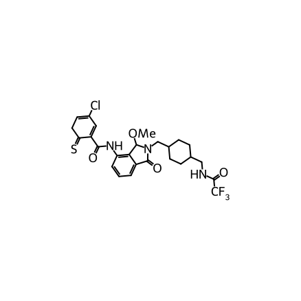 COC1c2c(NC(=O)C3=CC(Cl)=CCC3=S)cccc2C(=O)N1CC1CCC(CNC(=O)C(F)(F)F)CC1